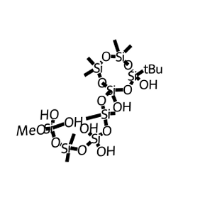 CO[Si](O)(O)O[Si](C)(C)O[Si](O)(O)O[Si](C)(C)O[Si]1(O)O[Si](C)(C)O[Si](C)(C)O[Si](O)(C(C)(C)C)O1